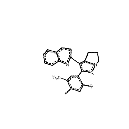 Cc1cc(-c2nn3c(c2-c2ccc4ccccc4n2)CCC3)c(F)cc1F